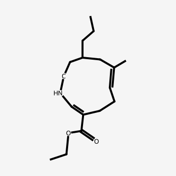 CCCC1CCN/C=C(/C(=O)OCC)CC/C=C(\C)C1